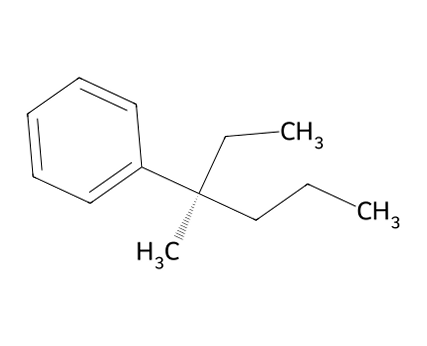 CCC[C@](C)(CC)c1ccccc1